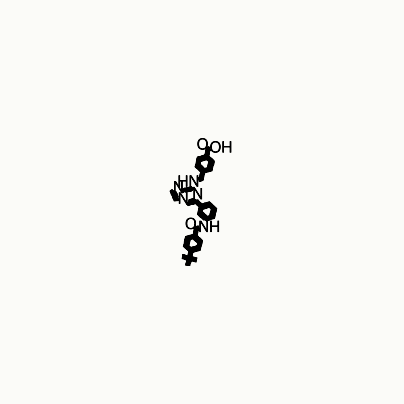 CC(C)(C)c1ccc(C(=O)Nc2cccc(-c3cn4ccnc4c(NCc4ccc(C(=O)O)cc4)n3)c2)cc1